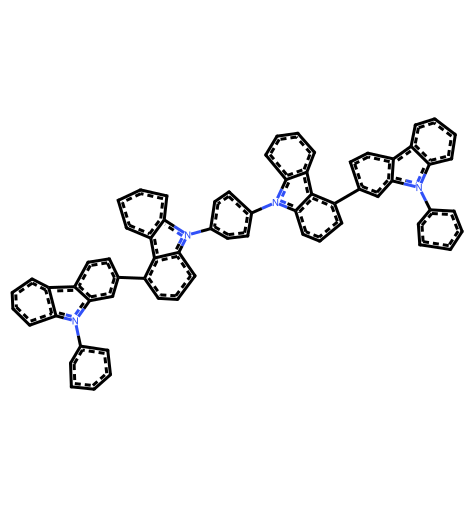 c1ccc(-n2c3ccccc3c3ccc(-c4cccc5c4c4ccccc4n5-c4ccc(-n5c6ccccc6c6c(-c7ccc8c9ccccc9n(-c9ccccc9)c8c7)cccc65)cc4)cc32)cc1